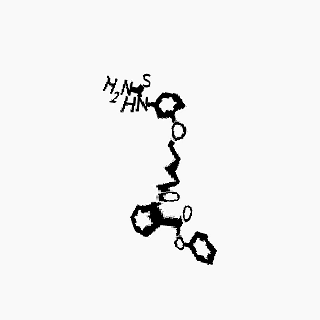 NC(=S)Nc1cccc(OCCCCCOc2ccccc2C(=O)Oc2ccccc2)c1